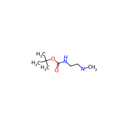 C[N]CCNC(=O)OC(C)(C)C